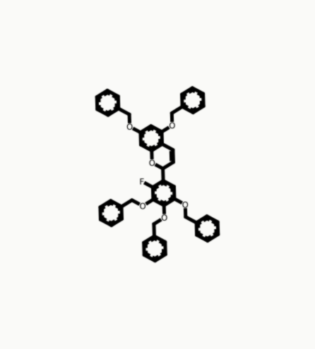 Fc1c(C2C=Cc3c(OCc4ccccc4)cc(OCc4ccccc4)cc3O2)cc(OCc2ccccc2)c(OCc2ccccc2)c1OCc1ccccc1